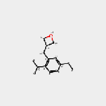 CCc1ccc(C(C)C)c(CC2COC2)c1